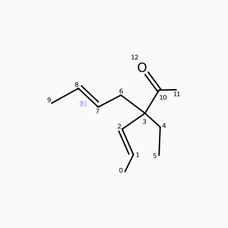 CC=CC(CC)(C/C=C/C)C(C)=O